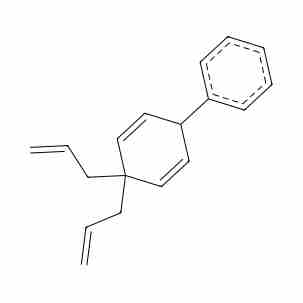 C=CCC1(CC=C)C=CC(c2ccccc2)C=C1